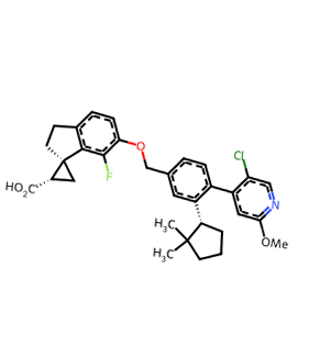 COc1cc(-c2ccc(COc3ccc4c(c3F)[C@@]3(CC4)C[C@@H]3C(=O)O)cc2[C@@H]2CCCC2(C)C)c(Cl)cn1